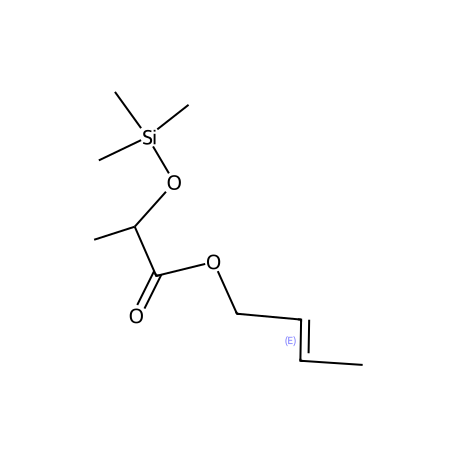 C/C=C/COC(=O)C(C)O[Si](C)(C)C